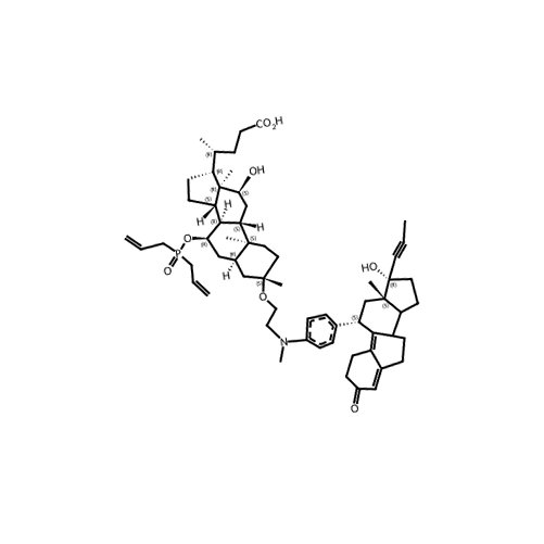 C=CCP(=O)(CC=C)O[C@@H]1C[C@@H]2C[C@@](C)(OCCN(C)c3ccc([C@@H]4C[C@@]5(C)C(CC[C@]5(O)C#CC)C5CCC6=CC(=O)CCC6=C54)cc3)CC[C@]2(C)[C@H]2C[C@H](O)[C@]3(C)[C@@H]([C@H](C)CCC(=O)O)CC[C@H]3[C@H]12